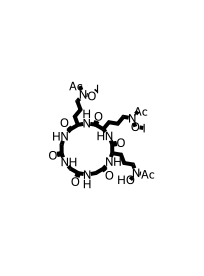 CC(=O)N(O)CCCC1NC(=O)CNC(=O)CNC(=O)CNC(=O)C(CCCN(OI)C(C)=O)NC(=O)C(CCCN(OI)C(C)=O)NC1=O